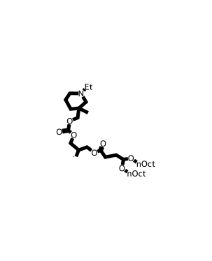 [CH2]C(COC(=O)CCC(OCCCCCCCC)OCCCCCCCC)COC(=O)OCC1(C)CCCN(CC)C1